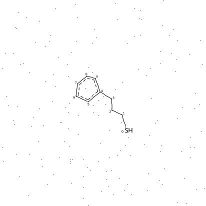 SCCCc1ccccc1